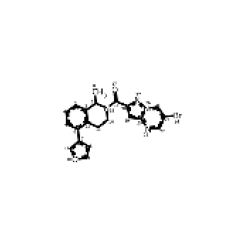 CC1c2cccc(-c3ccoc3)c2CCN1C(=O)c1cc2ncc(Br)cn2n1